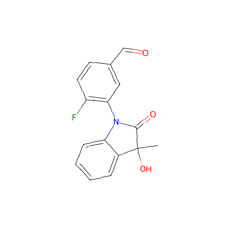 CC1(O)C(=O)N(c2cc(C=O)ccc2F)c2ccccc21